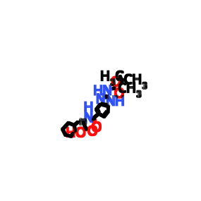 CC(C)(C)OC(=O)Nc1nc2cc(C(=O)N[C@@H](CC3CCCCC3)C(=O)O)ccc2[nH]1